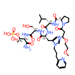 COCCOCCC(=O)N1CCC[C@H]1C(=O)N[C@@H](CC(C)C)C(=O)N[C@@H](Cc1cncn1CCCc1ccccn1)C(=O)N[C@@H](CO)C(=O)N[C@H](C(N)=O)[C@@H](C)OP(=O)(O)O